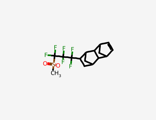 CS(=O)(=O)C(F)(F)C(F)(F)C(F)(F)C1CC2CC1C1C3C=CC(C3)C21